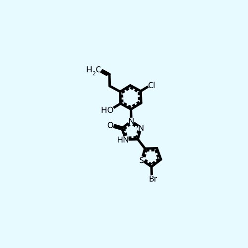 C=CCc1cc(Cl)cc(-n2nc(-c3ccc(Br)s3)[nH]c2=O)c1O